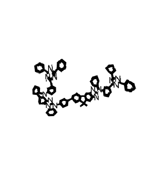 CC1(C)c2cc(-c3ccc(-n4c5ccccc5n5c6ccc7c8ccccc8n(-c8cccc(-c9nc(-c%10ccccc%10)nc(-c%10ccccc%10)n9)c8)c7c6nc45)cc3)ccc2-c2cc3c(cc21)nc1n(-c2cccc(-c4nc(-c5ccccc5)nc(-c5ccccc5)n4)c2)c2ccccc2n31